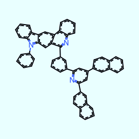 c1ccc(-n2c3ccccc3c3cc4c(cc32)c(-c2cccc(-c3cc(-c5ccc6ccccc6c5)cc(-c5ccc6ccccc6c5)n3)c2)nc2ccccc24)cc1